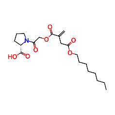 C=C(CC(=O)OCCCCCCCC)C(=O)OCC(=O)N1CCC[C@H]1C(=O)O